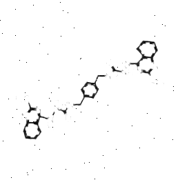 O=C(NCc1ccc(CNC(=O)NNc2nc(C(F)(F)F)nc3ccccc23)cc1)NNc1nc(C(F)(F)F)nc2ccccc12